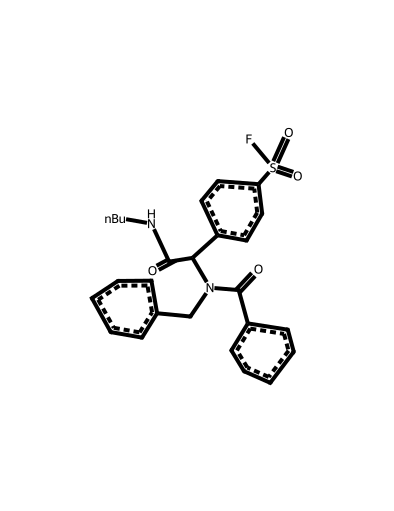 CCCCNC(=O)C(c1ccc(S(=O)(=O)F)cc1)N(Cc1ccccc1)C(=O)c1ccccc1